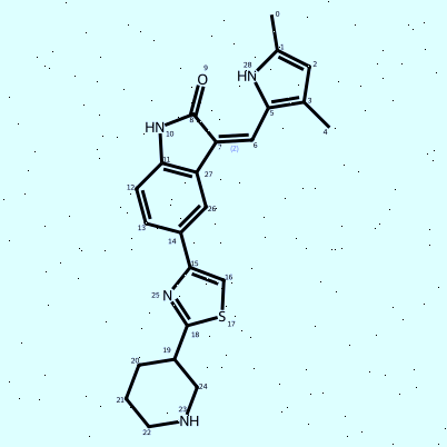 Cc1cc(C)c(/C=C2\C(=O)Nc3ccc(-c4csc(C5CCCNC5)n4)cc32)[nH]1